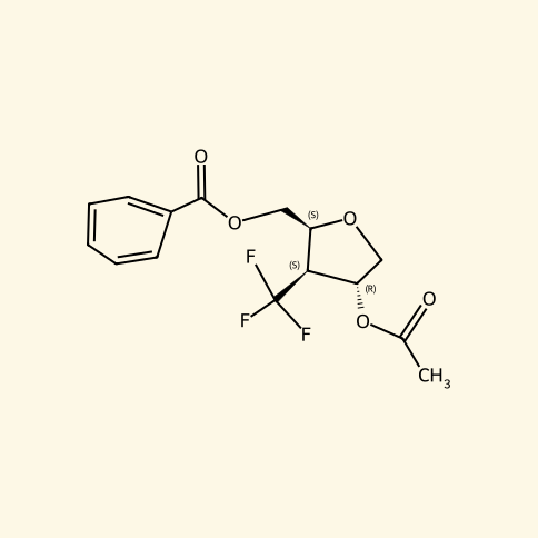 CC(=O)O[C@H]1CO[C@H](COC(=O)c2ccccc2)[C@@H]1C(F)(F)F